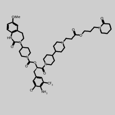 COc1ccc2c(c1)CCN(C1CCN(C(=O)O[C@H](Cc3cc(Cl)c(N)c(C(F)(F)F)c3)C(=O)N3CCC(C4CCN(CCC(=O)OCCCN5CCCCC5=O)CC4)CC3)CC1)C(=O)N2